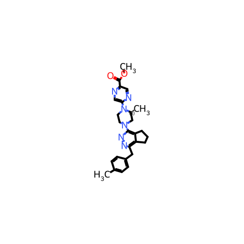 COC(=O)c1cnc(N2CCN(c3nnc(Cc4ccc(C)cc4)c4c3CCC4)C[C@H]2C)cn1